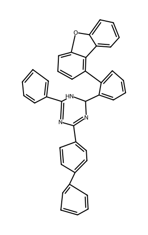 c1ccc(C2=NC(c3ccc(-c4ccccc4)cc3)=NC(c3ccccc3-c3cccc4oc5ccccc5c34)N2)cc1